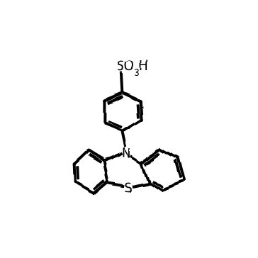 O=S(=O)(O)c1ccc(N2c3ccccc3Sc3ccccc32)cc1